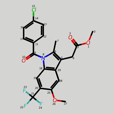 COC(=O)Cc1c(C)n(C(=O)c2ccc(Cl)cc2)c2cc(C(F)(F)F)c(OC)cc12